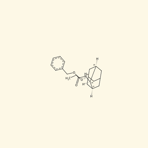 CCO[C@@]12CC3C[C@H](C1)[C@H](NC(=O)OCc1ccccc1)[C@@H](C3)C2